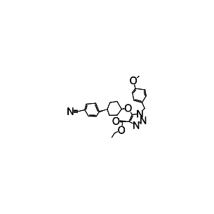 CCOC(=O)c1nnn(Cc2ccc(OC)cc2)c1O[C@H]1CC[C@@H](c2ccc(C#N)cc2)CC1